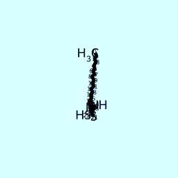 CCCCCCCCCCCCCCCCCc1nc(C(=S)S)c[nH]1